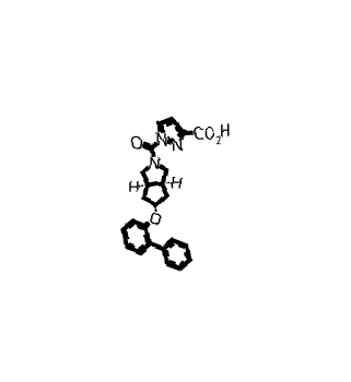 O=C(O)c1ccn(C(=O)N2C[C@H]3C[C@H](Oc4ccccc4-c4ccccc4)C[C@H]3C2)n1